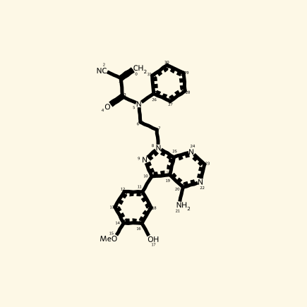 C=C(C#N)C(=O)N(CCn1nc(-c2ccc(OC)c(O)c2)c2c(N)ncnc21)c1ccccc1